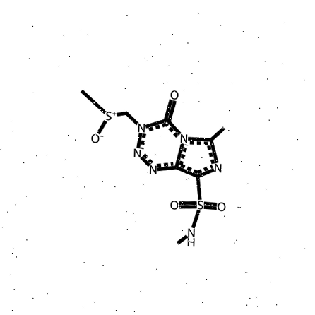 CNS(=O)(=O)c1nc(C)n2c(=O)n(C[S+](C)[O-])nnc12